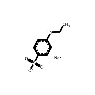 CCNc1ccc(S(=O)(=O)[O-])cc1.[Na+]